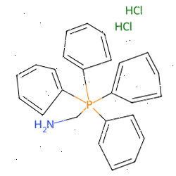 Cl.Cl.NCP(c1ccccc1)(c1ccccc1)(c1ccccc1)c1ccccc1